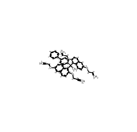 C#CCOc1ccc2c(C(C)(c3ccc(-c4ccccc4)cc3)c3c(OCC=C)ccc4cc(OCC=C)ccc34)c(OCC#C)ccc2c1